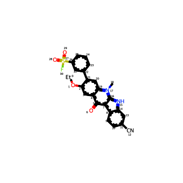 CCOc1cc2c(=O)c3c4ccc(C#N)cc4[nH]c3n(C)c2cc1-c1cccc(S(=O)(=O)F)c1